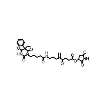 CCC1(c2ccccc2)C(=O)NC(=O)N(CCCCC(=O)NCCCNC(=O)CCC(=O)OC2CC(=O)NC2=O)C1=O